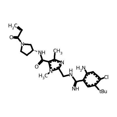 C=CC(=O)N1CC[C@@H](NC(=O)c2c(C)nc(CNC(=N)c3cc(C(C)(C)C)c(Cl)cc3N)n2C)C1